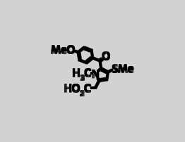 COc1ccc(C(=O)c2c(SC)cc(CC(=O)O)n2C)cc1